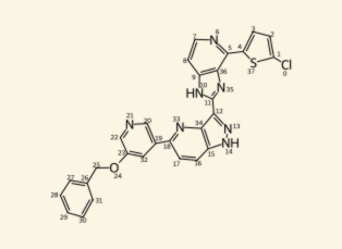 Clc1ccc(-c2nccc3[nH]c(-c4n[nH]c5ccc(-c6cncc(OCc7ccccc7)c6)nc45)nc23)s1